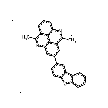 Cc1nc2cc(-c3ccc4sc5ccccc5c4c3)cc3c(C)nc4cccc1c4c23